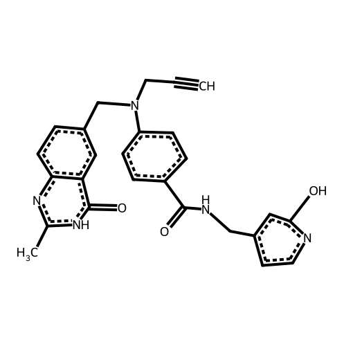 C#CCN(Cc1ccc2nc(C)[nH]c(=O)c2c1)c1ccc(C(=O)NCc2ccnc(O)c2)cc1